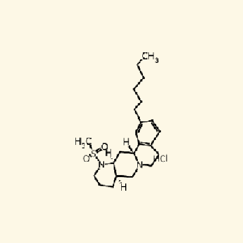 CCCCCCc1ccc2c(c1)[C@H]1C[C@H]3[C@H](CCCN3S(C)(=O)=O)CN1CC2.Cl